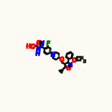 OC1NC(c2ccc(N3CCC(OCc4c(-c5ccccc5OC(F)(F)F)noc4C4CC4)CC3)cc2F)=NO1